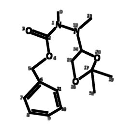 CN(C(=O)OCc1ccccc1)N(C)C1COC(C)(C)O1